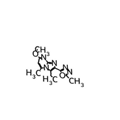 CCc1c(-c2nnc(C)o2)nc2nc(OC)cc(C)n12